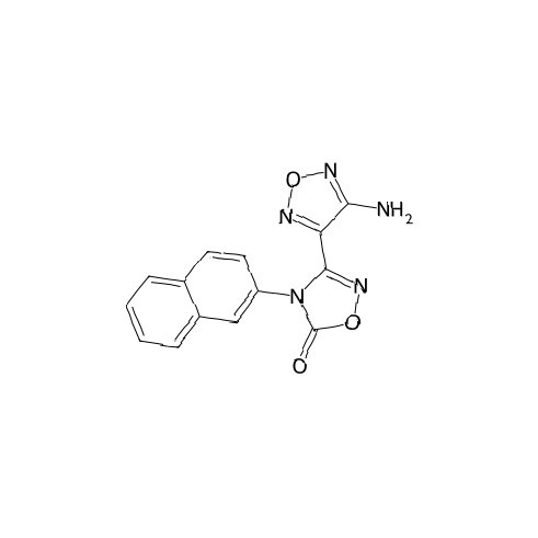 Nc1nonc1-c1noc(=O)n1-c1ccc2ccccc2c1